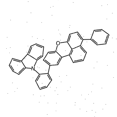 c1ccc(-c2ccc3c4c(cccc24)-c2cc(-c4ccccc4-n4c5ccccc5c5ccccc54)ccc2O3)cc1